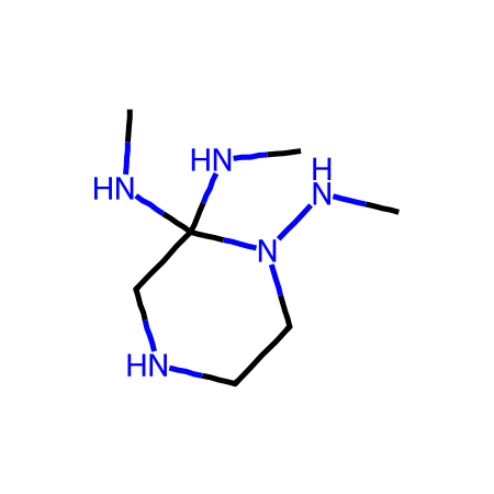 CNN1CCNCC1(NC)NC